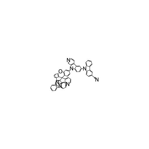 N#Cc1ccc2c(c1)c1ccccc1n2-c1ccc2c(c1)c1ccncc1n2-c1ccc2c(c1)Oc1cccc(-n3c4ccccc4c4ccccc43)c1C21c2cccnc2-c2ncccc21